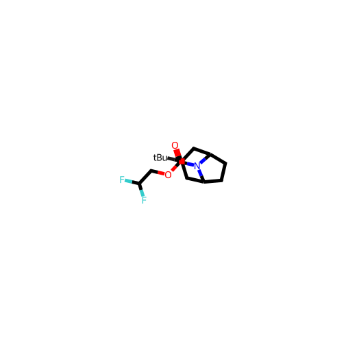 CC(C)(C)C1CC2CCC(C1)N2C(=O)OCC(F)F